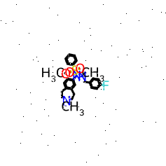 COc1cc2c(cc1N(N(C)Cc1ccc(F)cc1)S(=O)(=O)c1ccccc1)CCN(C)CC2